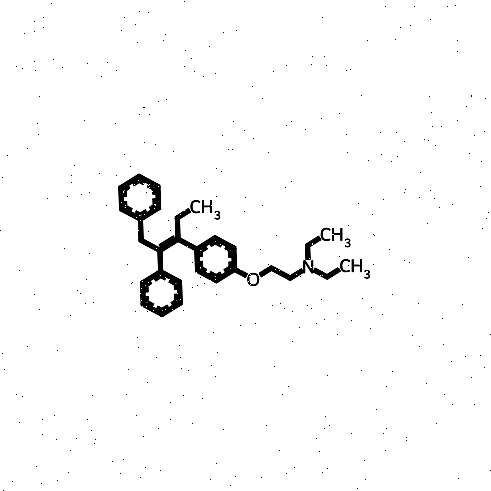 CCC(=C(Cc1ccccc1)c1ccccc1)c1ccc(OCCN(CC)CC)cc1